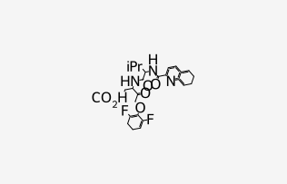 CC(C)C(NC(=O)c1ccc2c(n1)=CCCC=2)C(=O)NC(CC(=O)O)C(=O)COC1=C(F)CCC=C1F